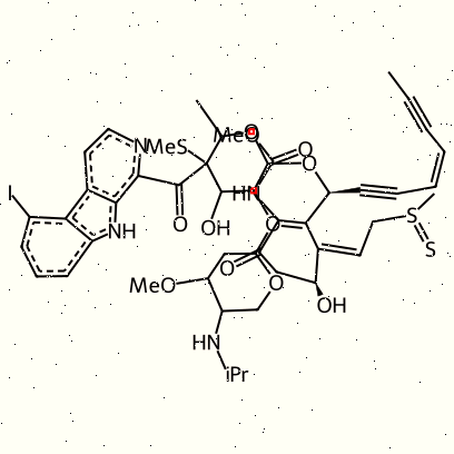 CC#C/C=C\C#C[C@H](OC1OC(C)C(SC)(C(=O)c2nccc3c2[nH]c2cccc(I)c23)C(O)C1OC1CC(OC)C(NC(C)C)CO1)C1=C(NC(=O)OC)C(=O)C[C@H](O)/C1=C/CS(C)=S